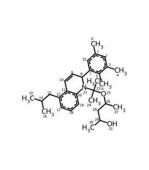 Cc1cc(C)c(C)c(C2C=Cc3c(CC(C)C)cccc3N2C(C)(C)OC(C)CC(C)O)c1